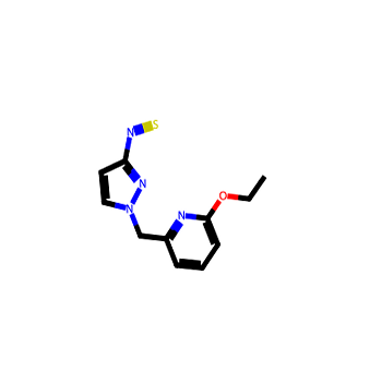 CCOc1cccc(Cn2ccc(N=S)n2)n1